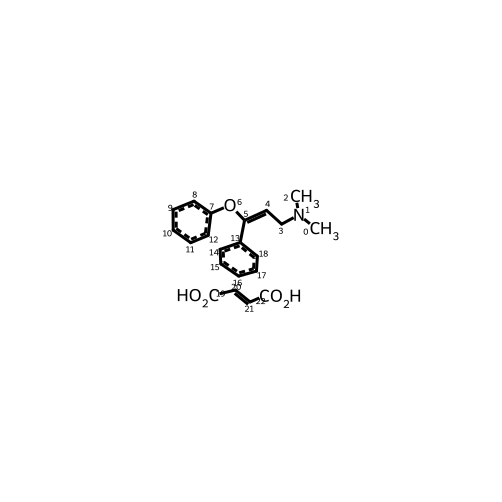 CN(C)CC=C(Oc1ccccc1)c1ccccc1.O=C(O)C=CC(=O)O